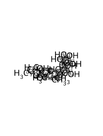 CC(C)=CC1CC(C)(O)C2C3CCC4[C@@]5(C)CC[C@H](O[C@@H]6OC(CO)[C@@H](O)C(O[C@@H]7OC(CO)[C@@H](O)C(O)[C@@H]7O)[C@@H]6O)C(C)(C)C5CC[C@@]4(C)[C@@]34CO[C@@]2(C4)O1